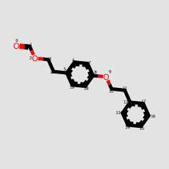 O=[C]OCCc1ccc(OCCc2ccccc2)cc1